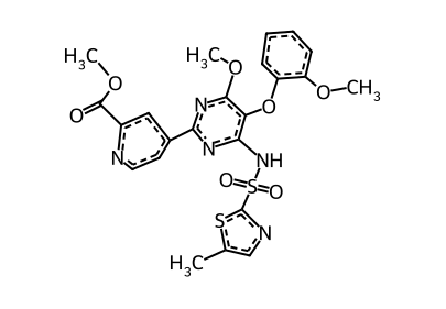 COC(=O)c1cc(-c2nc(NS(=O)(=O)c3ncc(C)s3)c(Oc3ccccc3OC)c(OC)n2)ccn1